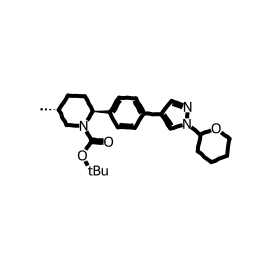 C[C@@H]1CC[C@@H](c2ccc(-c3cnn(C4CCCCO4)c3)cc2)N(C(=O)OC(C)(C)C)C1